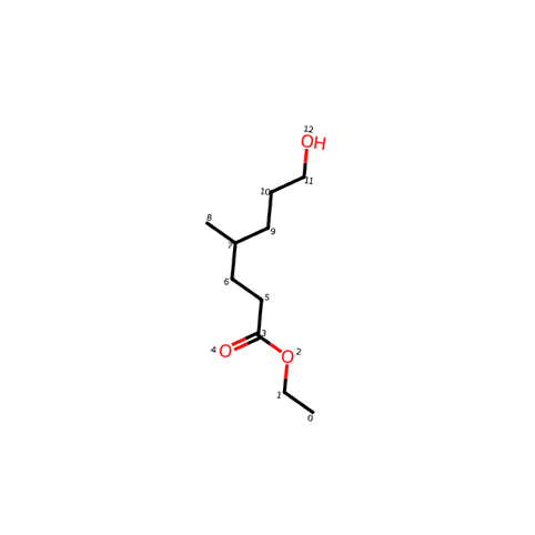 CCOC(=O)CCC(C)CCCO